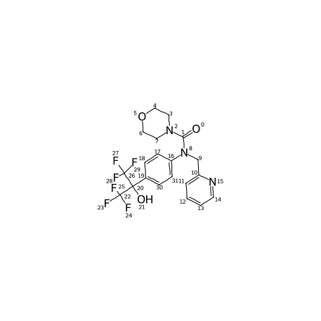 O=C(N1CCOCC1)N(Cc1ccccn1)c1ccc(C(O)(C(F)(F)F)C(F)(F)F)cc1